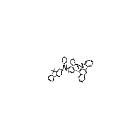 CC1(C)c2ccccc2-c2ccc(N(c3ccccc3)c3ccc(-c4c5ccccc5cc5c6ccccc6n(-c6ccccc6)c45)cc3)cc21